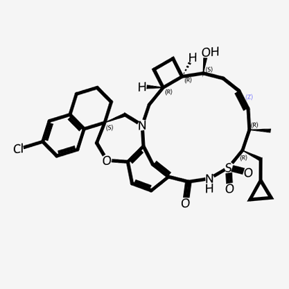 C[C@@H]1/C=C\C[C@H](O)[C@@H]2CC[C@H]2CN2C[C@@]3(CCCc4cc(Cl)ccc43)COc3ccc(cc32)C(=O)NS(=O)(=O)[C@@H]1CC1CC1